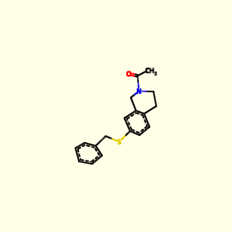 CC(=O)N1CCc2ccc(SCc3ccccc3)cc2C1